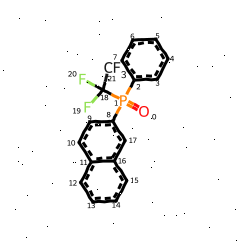 O=P(c1ccccc1)(c1ccc2ccccc2c1)C(F)(F)C(F)(F)F